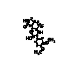 COc1ccc(C(Nc2cc3c(cc2F)CNC3=O)C(=O)O)cc1OC